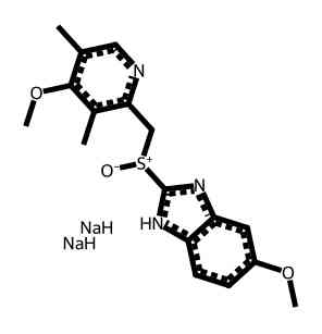 COc1ccc2[nH]c([S+]([O-])Cc3ncc(C)c(OC)c3C)nc2c1.[NaH].[NaH]